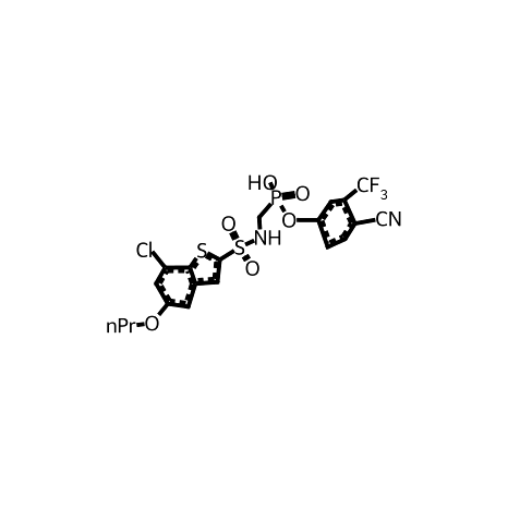 CCCOc1cc(Cl)c2sc(S(=O)(=O)NCP(=O)(O)Oc3ccc(C#N)c(C(F)(F)F)c3)cc2c1